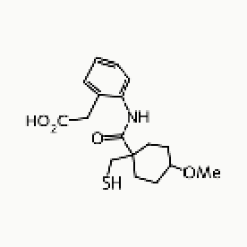 COC1CCC(CS)(C(=O)Nc2ccccc2CC(=O)O)CC1